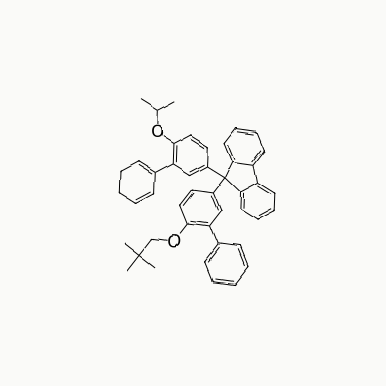 CC(C)Oc1ccc(C2(c3ccc(OCC(C)(C)C)c(-c4ccccc4)c3)c3ccccc3-c3ccccc32)cc1C1=CCCC=C1